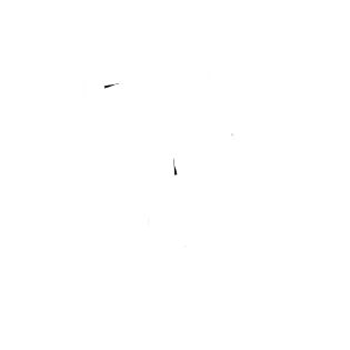 CC(c1ccccc1)(c1ccccc1)c1ccccc1O[C@H]1O[C@H]([C@@H](O)CO)[C@H](O)[C@@H]1O